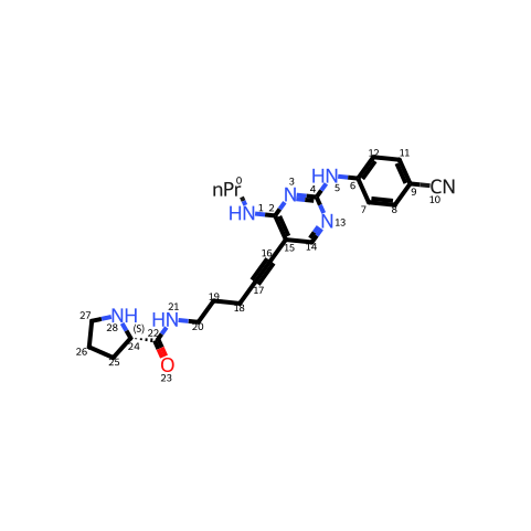 CCCNc1nc(Nc2ccc(C#N)cc2)ncc1C#CCCCNC(=O)[C@@H]1CCCN1